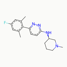 Cc1cc(F)cc(C)c1-c1ccc(N[C@@H]2CCCN(C)C2)nn1